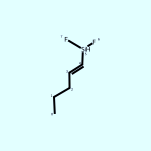 CCCC=C[SiH](F)F